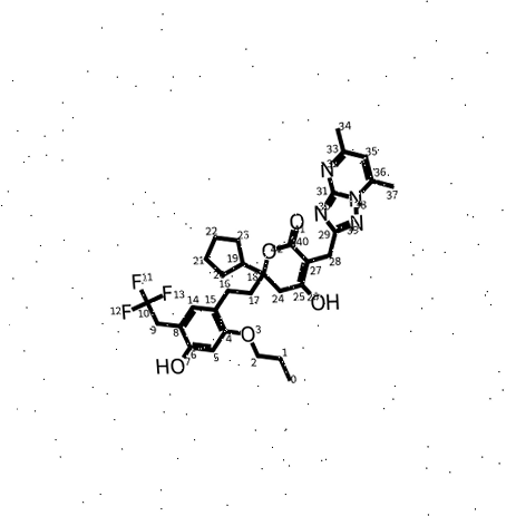 CCCOc1cc(O)c(CC(F)(F)F)cc1CCC1(C2CCCC2)CC(O)=C(Cc2nc3nc(C)cc(C)n3n2)C(=O)O1